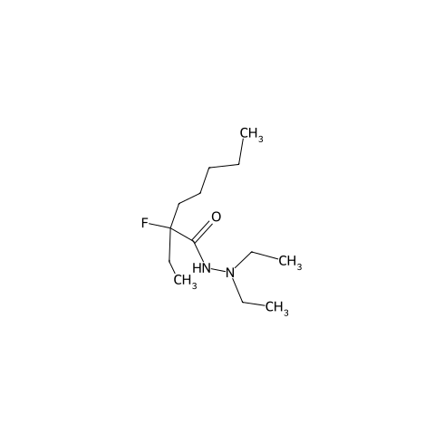 CCCCCC(F)(CC)C(=O)NN(CC)CC